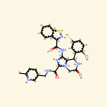 Cc1ccc(CNC(=O)c2nc(NC(=O)c3nsc4ccccc34)c3n2CC(=O)NC3c2cc(F)ccc2Cl)cn1